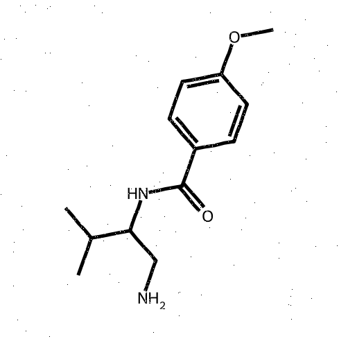 COc1ccc(C(=O)NC(CN)C(C)C)cc1